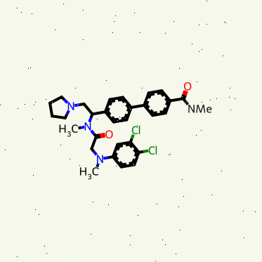 CNC(=O)c1ccc(-c2ccc(C(CN3CCCC3)N(C)C(=O)CN(C)c3ccc(Cl)c(Cl)c3)cc2)cc1